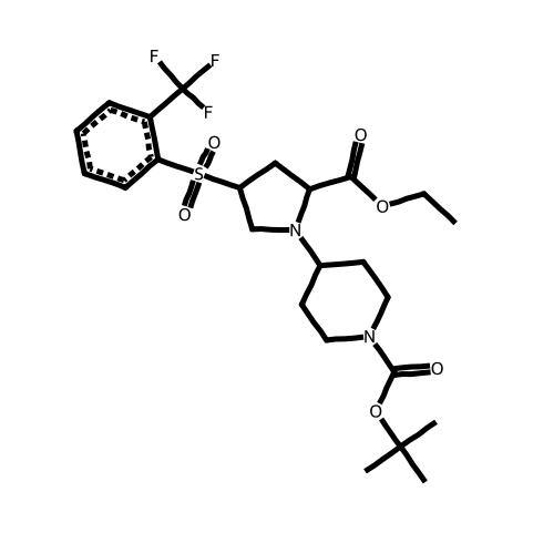 CCOC(=O)C1CC(S(=O)(=O)c2ccccc2C(F)(F)F)CN1C1CCN(C(=O)OC(C)(C)C)CC1